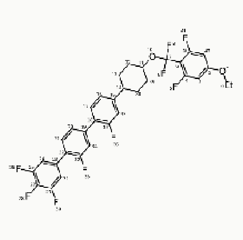 CCOc1cc(F)c(C(F)(F)OC2CCC(c3ccc(-c4ccc(-c5cc(F)c(F)c(F)c5)c(F)c4)c(F)c3)CC2)c(F)c1